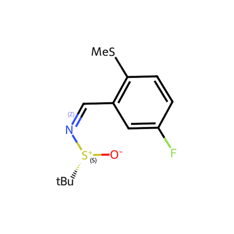 CSc1ccc(F)cc1/C=N\[S@+]([O-])C(C)(C)C